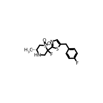 C[C@@H]1CS(=O)(=O)C(F)(c2ncc(Cc3ccc(F)cc3)s2)CN1